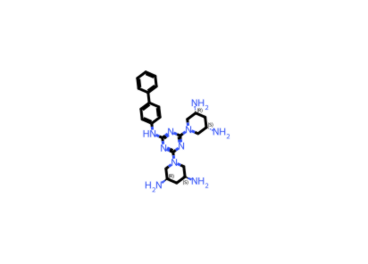 N[C@@H]1C[C@H](N)CN(c2nc(Nc3ccc(-c4ccccc4)cc3)nc(N3C[C@H](N)C[C@H](N)C3)n2)C1